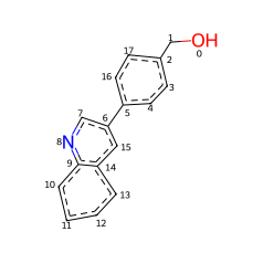 OCc1ccc(-c2cnc3ccccc3c2)cc1